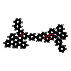 c1ccc(-c2ccc(N(c3ccc(-c4ccc5cc(-c6ccc(-c7cccc(-c8c(N(c9cccc(-c%10ccccc%10)c9)c9cccc(-c%10ccc%11ccccc%11c%10)c9)c9ccccc9c9ccccc89)c7)cc6)ccc5c4)cc3)c3c(-c4cccc(-c5ccccc5)c4)c4ccccc4c4ccccc34)cc2)cc1